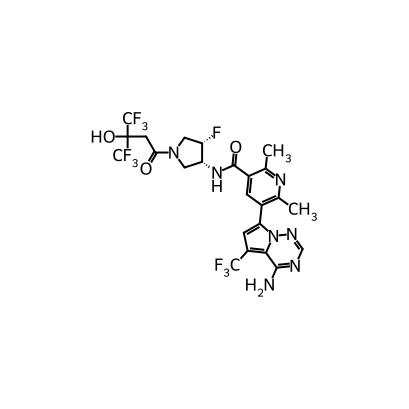 Cc1nc(C)c(-c2cc(C(F)(F)F)c3c(N)ncnn23)cc1C(=O)N[C@@H]1CN(C(=O)CC(O)(C(F)(F)F)C(F)(F)F)C[C@@H]1F